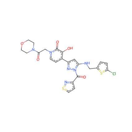 O=C(Cn1ccc(-c2cc(NCc3ccc(Cl)s3)n(C(=O)c3ccsn3)n2)c(O)c1=O)N1CCOCC1